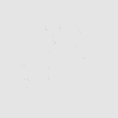 Cc1c(N2CCc3cnc(Nc4ccc(C5(S(C)(=O)=O)CC5)nc4)nc3C2)cnc2c1NCCO2